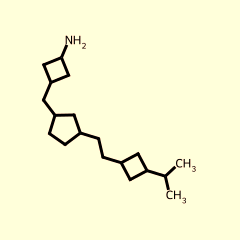 CC(C)C1CC(CCC2CCC(CC3CC(N)C3)C2)C1